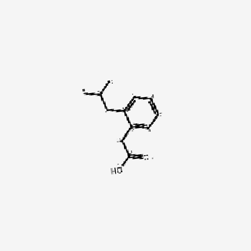 CC(C)Cc1ccccc1CC(=O)O